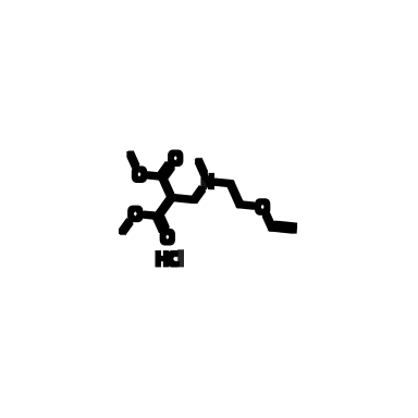 C=COCCN(C)CC(C(=O)OC)C(=O)OC.Cl